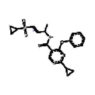 CC(/C=C/S(=O)(=O)C1CC1)NC(=O)c1cnc(C2CC2)nc1Oc1ccccc1